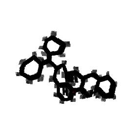 NC(N)C(Cc1ccccc1)CC(O)CC(Cc1ccccc1)C(C1CCCCC1)C1CCCCC1